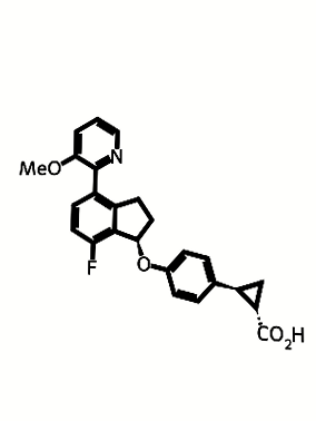 COc1cccnc1-c1ccc(F)c2c1CC[C@H]2Oc1ccc([C@H]2C[C@@H]2C(=O)O)cc1